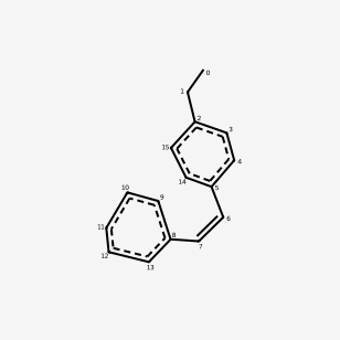 CCc1ccc(/C=C\c2ccccc2)cc1